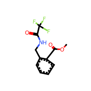 COC(=O)c1ccccc1CNC(=O)C(F)(F)F